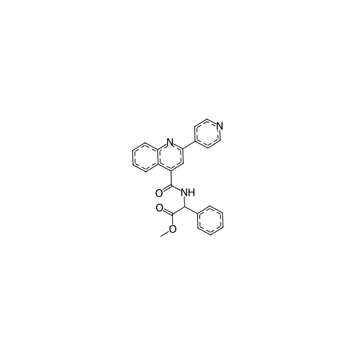 COC(=O)C(NC(=O)c1cc(-c2ccncc2)nc2ccccc12)c1ccccc1